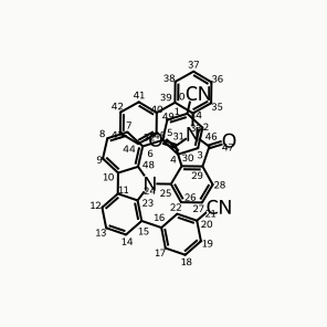 N#Cc1cccc(-c2cccc3c4cccc(-c5cccc(C#N)c5)c4n(-c4cccc5c4C(=O)N(c4ccccc4-c4ccccc4)C5=O)c23)c1